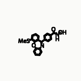 CSc1cccc2c1Oc1ccccc1N=C2c1ccc(C(=O)NO)cc1